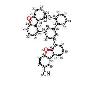 N#Cc1ccc2oc3c(-c4cc(-c5ccccc5C#N)cc(-c5cccc6oc7ccccc7c56)c4)cccc3c2c1